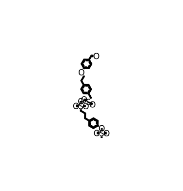 CS(=O)(=O)Oc1ccc(CCCS(=O)(=O)OS(=O)(=O)Cc2ccc(CCOc3ccc(C=O)cc3)cc2)cc1